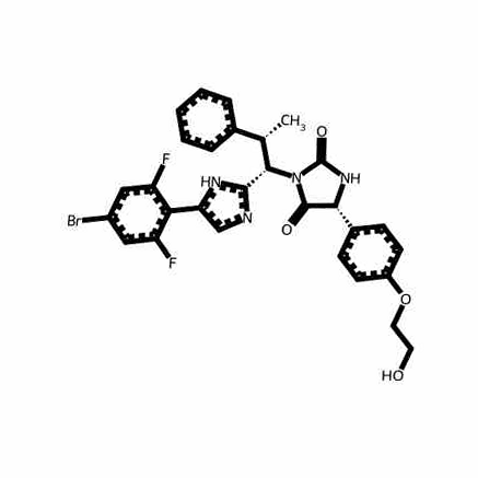 C[C@@H](c1ccccc1)[C@@H](c1ncc(-c2c(F)cc(Br)cc2F)[nH]1)N1C(=O)N[C@H](c2ccc(OCCO)cc2)C1=O